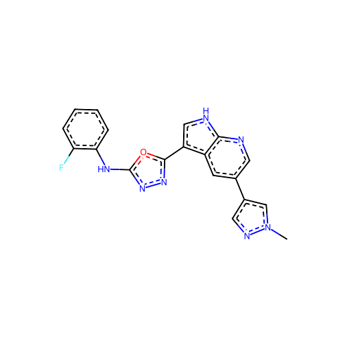 Cn1cc(-c2cnc3[nH]cc(-c4nnc(Nc5ccccc5F)o4)c3c2)cn1